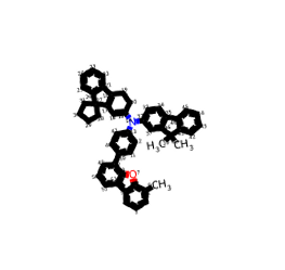 Cc1cccc2c1oc1c(-c3ccc(N(C4=CC5=C(CC4)c4ccccc4C54CCCC4)c4ccc5c(c4)C(C)(C)c4ccccc4-5)cc3)cccc12